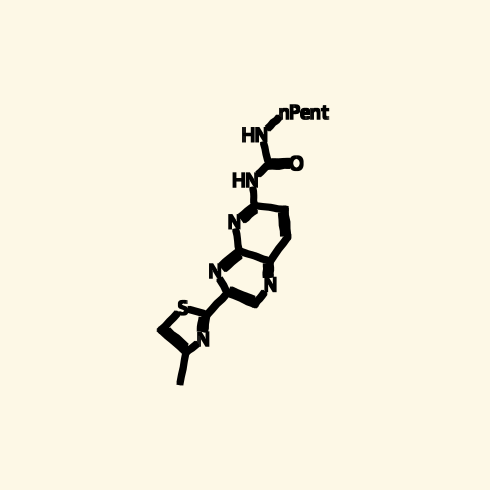 CCCCCNC(=O)Nc1ccc2ncc(-c3nc(C)cs3)nc2n1